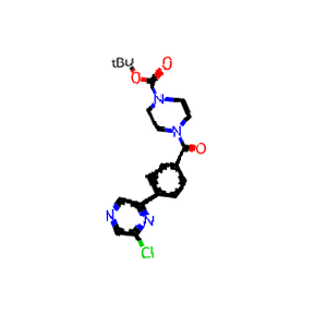 CC(C)(C)OC(=O)N1CCN(C(=O)c2ccc(-c3cncc(Cl)n3)cc2)CC1